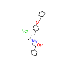 C[C@@H](CCc1ccc(OCc2ccccc2)cc1)NC[C@H](O)c1ccccc1.Cl